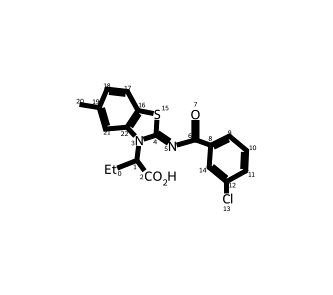 CCC(C(=O)O)n1c(=NC(=O)c2cccc(Cl)c2)sc2ccc(C)cc21